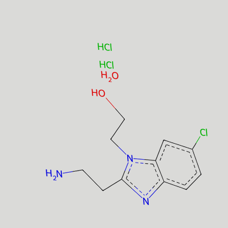 Cl.Cl.NCCc1nc2ccc(Cl)cc2n1CCO.O